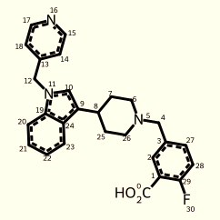 O=C(O)c1cc(CN2CCC(c3cn(Cc4ccncc4)c4ccccc34)CC2)ccc1F